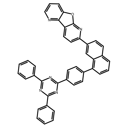 c1ccc(-c2nc(-c3ccccc3)nc(-c3ccc(-c4cccc5ccc(-c6ccc7c(n6)oc6cccnc67)cc45)cc3)n2)cc1